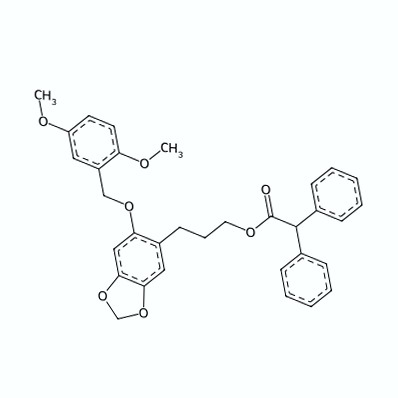 COc1ccc(OC)c(COc2cc3c(cc2CCCOC(=O)C(c2ccccc2)c2ccccc2)OCO3)c1